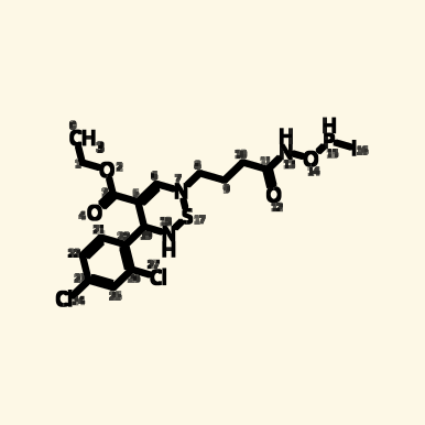 CCOC(=O)C1=CN(CCCC(=O)NOPI)SNC1c1ccc(Cl)cc1Cl